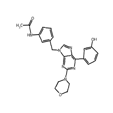 CC(=O)Nc1cccc(Cn2cnc3c(-c4cccc(O)c4)nc(N4CCOCC4)nc32)c1